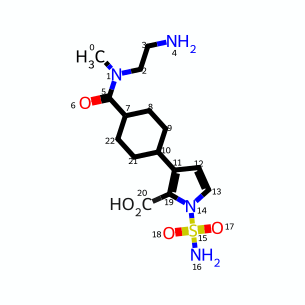 CN(CCN)C(=O)C1CCC(c2ccn(S(N)(=O)=O)c2C(=O)O)CC1